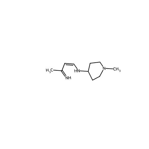 CC(=N)/C=C\NC1CCN(C)CC1